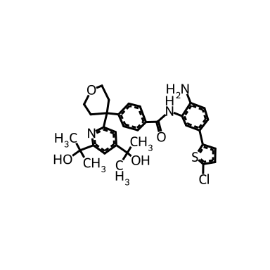 CC(C)(O)c1cc(C(C)(C)O)nc(C2(c3ccc(C(=O)Nc4cc(-c5ccc(Cl)s5)ccc4N)cc3)CCOCC2)c1